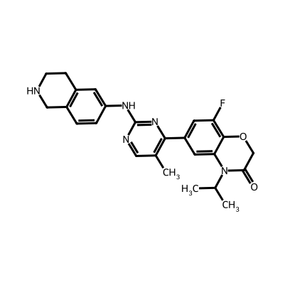 Cc1cnc(Nc2ccc3c(c2)CCNC3)nc1-c1cc(F)c2c(c1)N(C(C)C)C(=O)CO2